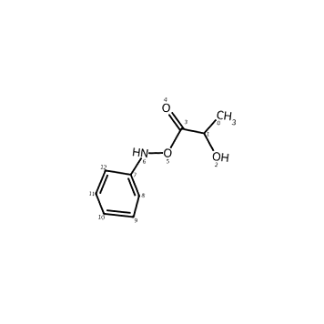 CC(O)C(=O)ONc1ccccc1